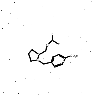 O=C(O)c1ccc(CN2CCCC2COC(F)F)cc1